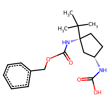 CC(C)(C)[C@@]1(NC(=O)OCc2ccccc2)CC[C@H](NC(=O)O)C1